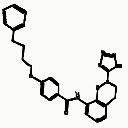 O=C(Nc1cccc2c1ON(c1nnn[nH]1)CC2)c1ccc(OCCCCc2ccccc2)cc1